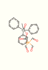 [CH3][Co](=[O])([O]C(=O)[PH]([C]=O)([C]=O)[C]=O)([c]1ccccc1)([c]1ccccc1)[c]1ccccc1